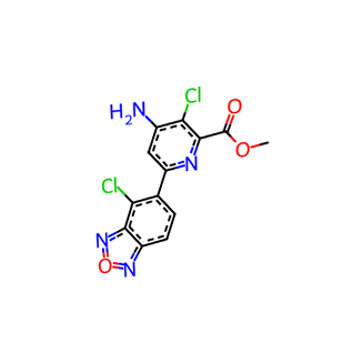 COC(=O)c1nc(-c2ccc3nonc3c2Cl)cc(N)c1Cl